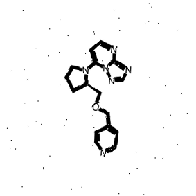 c1cc(COC[C@H]2CCCN2c2ccnc3ncnn23)ccn1